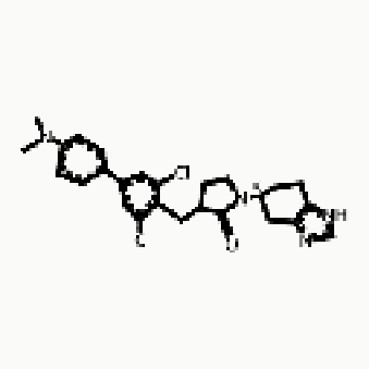 CN(C)c1ccc(-c2cc(Cl)c(CC3CCN([C@@H]4CCc5[nH]cnc5C4)C3=O)c(Cl)c2)cc1